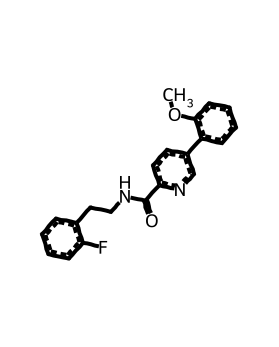 COc1ccccc1-c1ccc(C(=O)NCCc2ccccc2F)nc1